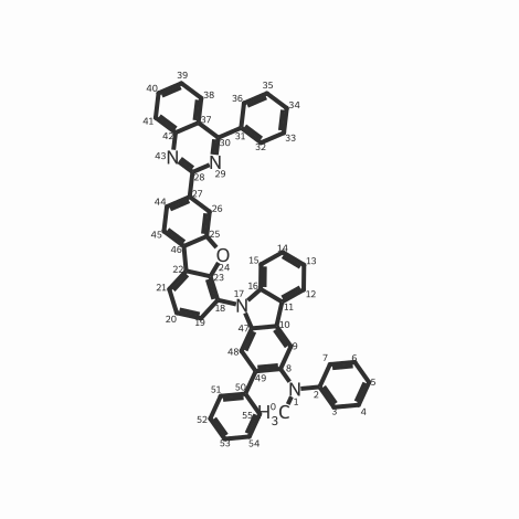 CN(c1ccccc1)c1cc2c3ccccc3n(-c3cccc4c3oc3cc(-c5nc(-c6ccccc6)c6ccccc6n5)ccc34)c2cc1-c1ccccc1